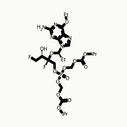 CCOc1nc(N)nc2c1ncn2[C@@H](CC)O[C@](F)(COP(=O)(OCOC(=O)OC(C)C)OCOC(=O)OC(C)C)[C@@H](O)CF